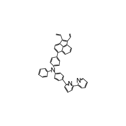 C=CC1=C(C=C)c2ccc(-c3ccc(N(c4ccccc4)c4ccc(-c5cccc(-c6ccccn6)n5)cc4)cc3)c3cccc1c23